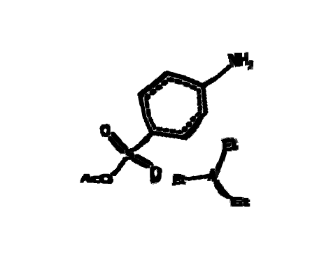 CC(=O)OS(=O)(=O)c1ccc(N)cc1.CCN(CC)CC